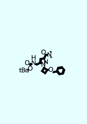 CN(C)C(=O)c1cc(CNC(=O)OC(C)(C)C)n(C2CCC2OCc2ccccc2)n1